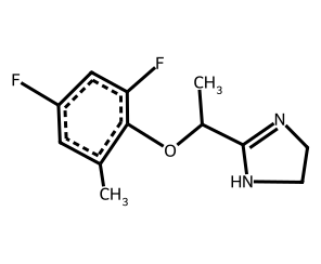 Cc1cc(F)cc(F)c1OC(C)C1=NCCN1